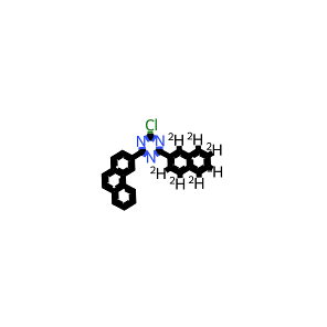 [2H]c1c([2H])c([2H])c2c([2H])c(-c3nc(Cl)nc(-c4ccc5ccc6ccccc6c5c4)n3)c([2H])c([2H])c2c1[2H]